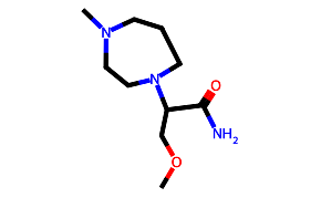 COCC(C(N)=O)N1CCCN(C)CC1